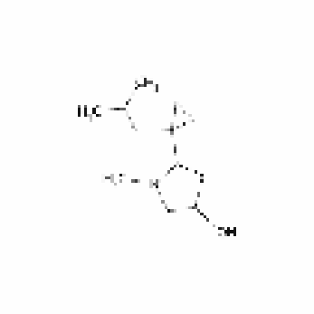 CC(C)CC1(C2CC(O)CN2C)CC1